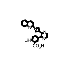 O=C(O)c1cccc(-c2nccnc2C2CN(c3ccc4ccccc4n3)C2)c1.[LiH]